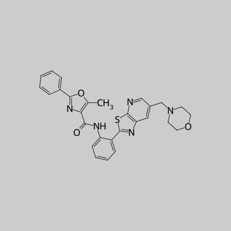 Cc1oc(-c2ccccc2)nc1C(=O)Nc1ccccc1-c1nc2cc(CN3CCOCC3)cnc2s1